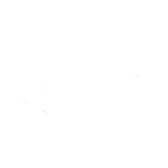 c1ccc(-c2nc(-c3ccccc3)nc(-c3ccc(-c4cccc(-c5nc6ccccc6c6c7ccccc7c7ccccc7c56)c4)cc3)n2)cc1